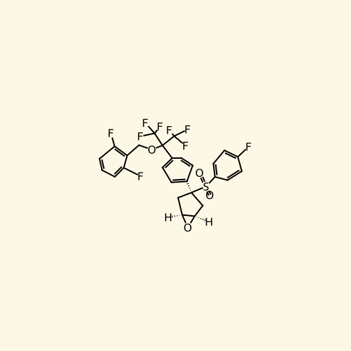 O=S(=O)(c1ccc(F)cc1)[C@]1(c2ccc(C(OCc3c(F)cccc3F)(C(F)(F)F)C(F)(F)F)cc2)C[C@@H]2O[C@@H]2C1